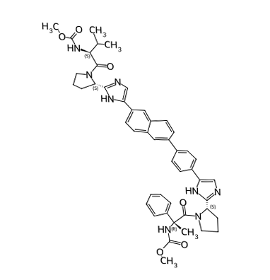 COC(=O)N[C@H](C(=O)N1CCC[C@H]1c1ncc(-c2ccc3cc(-c4ccc(-c5cnc([C@@H]6CCCN6C(=O)[C@](C)(NC(=O)OC)c6ccccc6)[nH]5)cc4)ccc3c2)[nH]1)C(C)C